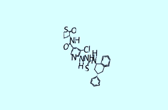 O=C(NC1CCSC1=O)c1cnc(NNC(=S)NC2C[C@@H](c3ccccc3)Cc3ccccc32)c(Cl)c1